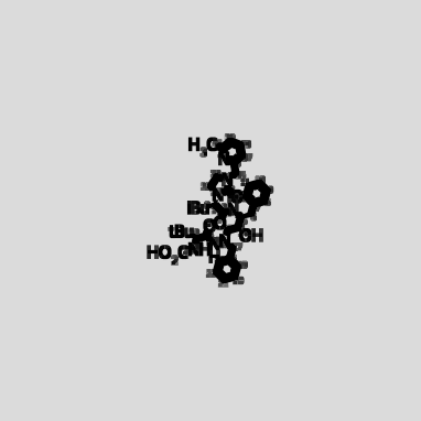 CC[C@H](C)[C@@H](C(=O)N[C@@H](Cc1ccccc1)[C@@H](O)CN(Cc1ccccc1)NC(=O)[C@@H](NC(=O)O)C(C)(C)C)N1CCN(Cc2cccc(C)n2)C1=O